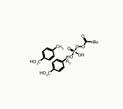 CCCCC(=O)OOP(=O)(O)O.Cc1ccc(C(=O)O)cc1.Cc1ccc(C(=O)O)cc1